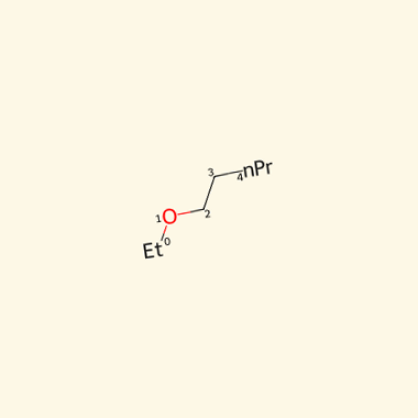 [CH2]COCCCCC